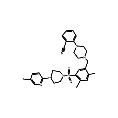 Cc1cc(C)c(S(=O)(=O)N2CCN(c3ccc(F)cn3)CC2)cc1CN1CCN(c2ccccc2C#N)CC1